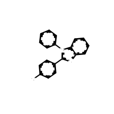 O=[N+]([O-])c1ccc(-c2nc3ccccc3n2-c2ccccc2)cc1